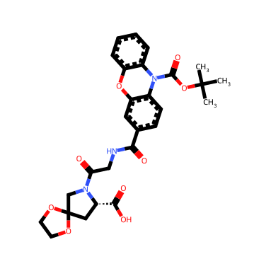 CC(C)(C)OC(=O)N1c2ccccc2Oc2cc(C(=O)NCC(=O)N3CC4(C[C@H]3C(=O)O)OCCO4)ccc21